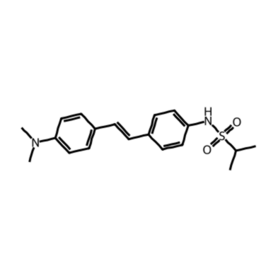 CC(C)S(=O)(=O)Nc1ccc(C=Cc2ccc(N(C)C)cc2)cc1